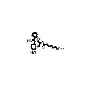 CCCCCCCCCCCCCCCC(=O)OC(COc1ncccc1C(=N)N)CN1CCCCC1.Cl